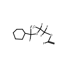 C=C(F)OC(F)(F)C(F)(OC(F)(F)C1CCCCC1)C(F)(F)F